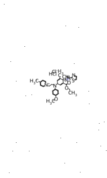 CCOC(=O)C1=CC(N(CC[n+]2ccc(C)cc2)c2ccc(OC)cc2)C=C(C)C1(C)/N=N/c1nccs1.Cl.[Cl-]